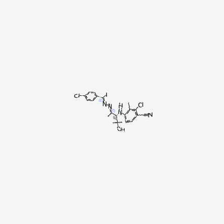 C/C(=N\N=C(/I)c1ccc(Cl)cc1)[C@H](Nc1ccc(C#N)c(Cl)c1C)C(C)(C)O